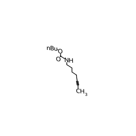 CC#CCCCCNC(=O)OCCCC